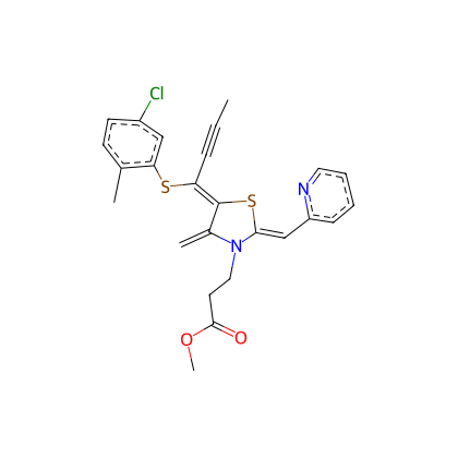 C=C1/C(=C(/C#CC)Sc2cc(Cl)ccc2C)S/C(=C\c2ccccn2)N1CCC(=O)OC